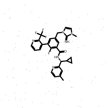 Cc1ccnc([C@@H](NC(=O)c2cc(Cn3ccn(C)c3=N)cc(-c3cccnc3C(F)(F)F)c2F)C2CC2)c1